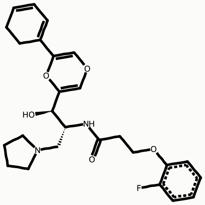 O=C(CCOc1ccccc1F)N[C@H](CN1CCCC1)[C@@H](O)C1=COC=C(C2=CC=CCC2)O1